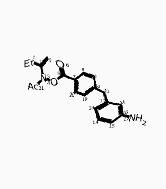 C=C(CC)N(OC(=O)c1ccc(Cc2cccc(N)c2)cc1)C(C)=O